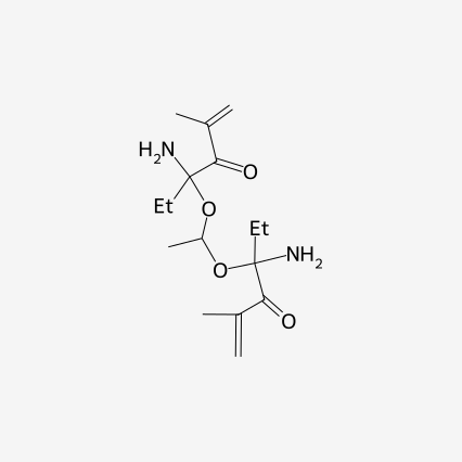 C=C(C)C(=O)C(N)(CC)OC(C)OC(N)(CC)C(=O)C(=C)C